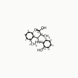 Cc1ccccc1C(Nc1ccccc1O)C(C)C(=O)O